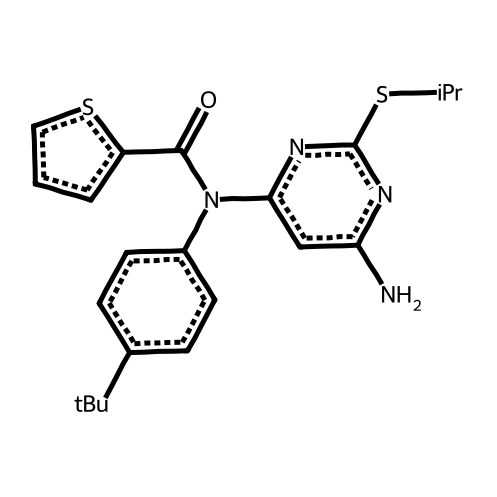 CC(C)Sc1nc(N)cc(N(C(=O)c2cccs2)c2ccc(C(C)(C)C)cc2)n1